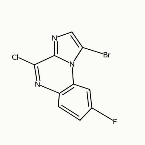 Fc1ccc2nc(Cl)c3ncc(Br)n3c2c1